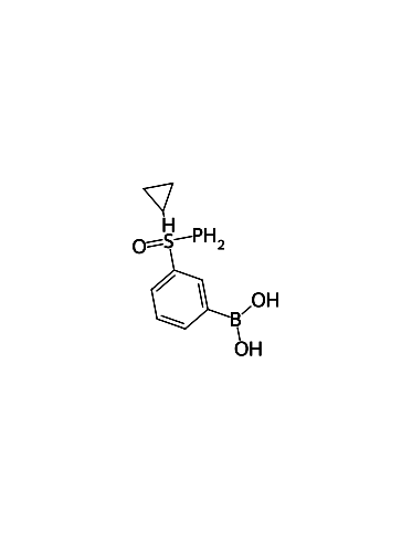 O=[SH](P)(c1cccc(B(O)O)c1)C1CC1